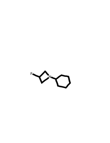 FC1CN(C2CCCCC2)C1